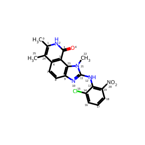 Cc1[nH]c(=O)c2c(ccc3nc(Nc4c(Cl)cccc4[N+](=O)[O-])n(C)c32)c1C